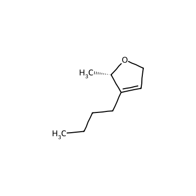 CCCCC1=CCO[C@H]1C